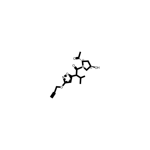 C#CCOc1cc(C(C(=O)N2C[C@H](O)C[C@H]2C(C)=O)C(C)C)on1